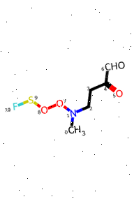 CN(CCC(=O)C=O)OOSF